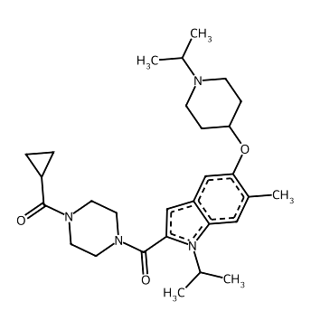 Cc1cc2c(cc1OC1CCN(C(C)C)CC1)cc(C(=O)N1CCN(C(=O)C3CC3)CC1)n2C(C)C